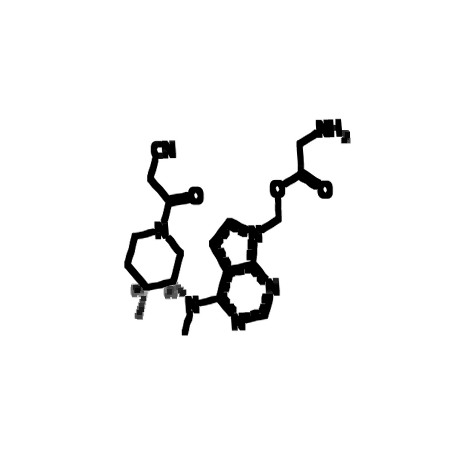 C[C@@H]1CCN(C(=O)CC#N)C[C@@H]1N(C)c1ncnc2c1ccn2COC(=O)CN